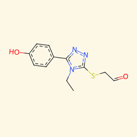 CCn1c(SCC=O)nnc1-c1ccc(O)cc1